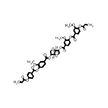 C=CC(=O)Oc1ccc(C(=O)Oc2ccc(C(=O)O[C@@H]3CO[C@@H]4[C@H]3OC[C@H]4OC(=O)c3ccc(OC(=O)c4ccc(OC(=O)C=C)c(OC)c4)c(OC)c3)cc2OC)cc1